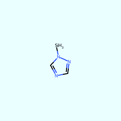 [SiH3]n1cncn1